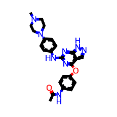 CC(=O)Nc1ccc(Oc2nc(Nc3ccc(N4CCN(C)CC4)cc3)nc3[nH]ncc23)cc1